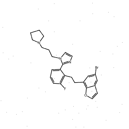 Fc1cccc(-c2nccn2CCCN2CCCC2)c1CCc1cc(Br)cc2ccoc12